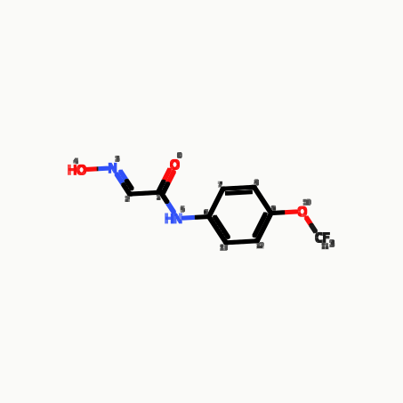 O=C(C=NO)Nc1ccc(OC(F)(F)F)cc1